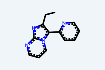 CCc1nc2ncccn2c1-c1ccccn1